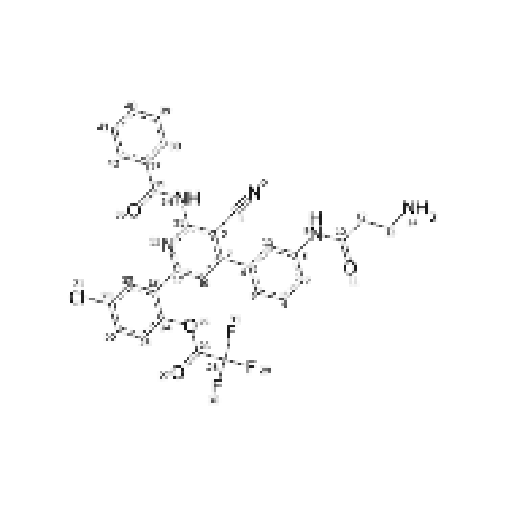 N#Cc1c(-c2cccc(NC(=O)CCN)c2)cc(-c2cc(Cl)ccc2OC(=O)C(F)(F)F)nc1NC(=O)c1ccccc1